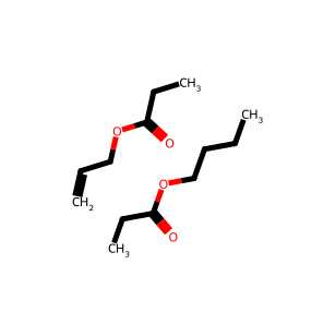 C=CCOC(=O)CC.CCCCOC(=O)CC